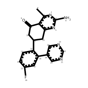 Cc1nc(N)nc2c1C(=O)CC(c1ccc(F)cc1-c1cncnc1)C2